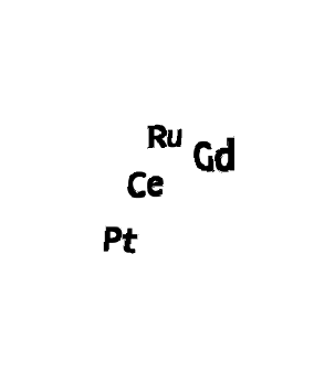 [Ce].[Gd].[Pt].[Ru]